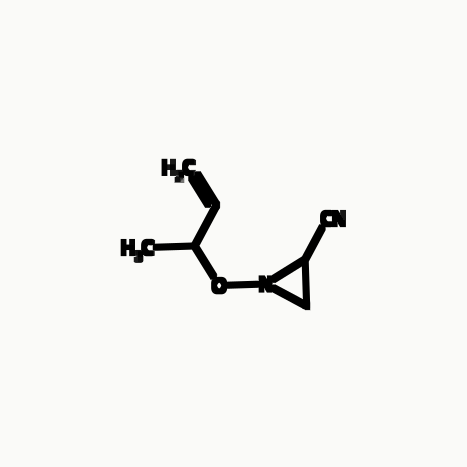 C=CC(C)ON1CC1C#N